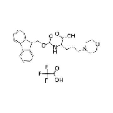 O=C(NC(CCCN1CCOCC1)C(=O)O)OCC1c2ccccc2-c2ccccc21.O=C(O)C(F)(F)F